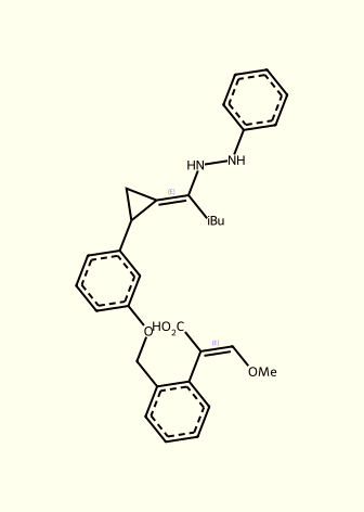 CCC(C)/C(NNc1ccccc1)=C1/CC1c1cccc(OCc2ccccc2/C(=C\OC)C(=O)O)c1